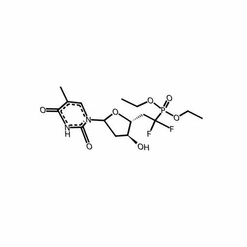 CCOP(=O)(OCC)C(F)(F)C[C@H]1OC(n2cc(C)c(=O)[nH]c2=O)C[C@@H]1O